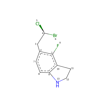 Fc1c(C[C@@H](Cl)Br)ccc2c1CCN2